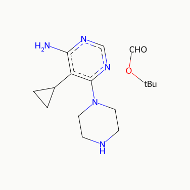 CC(C)(C)OC=O.Nc1ncnc(N2CCNCC2)c1C1CC1